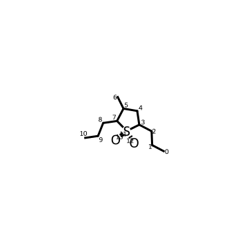 CCCC1CC(C)C(CCC)S1(=O)=O